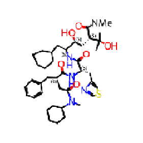 CNC(=O)[C@@H](C[C@H](O)[C@H](CC1CCCCC1)NC(=O)[C@H](Cc1cscn1)NC(=O)[C@@H](CC(=O)N(C)C1CCCCC1)Cc1ccccc1)C(C)(C)O